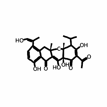 CC(=O)C1=C(O)C(C(C)C)[C@@]2(C)C[C@@]3(C)Cc4c(/C(C)=C\O)ccc(O)c4C(=O)C3=C(O)[C@@]2(O)C1=O